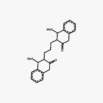 CSC1c2ccccc2CC(=O)N1CCCN1C(=O)Cc2ccccc2C1SC